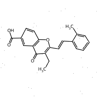 CCc1c(/C=C/c2ccccc2C)oc2ccc(C(=O)O)cc2c1=O